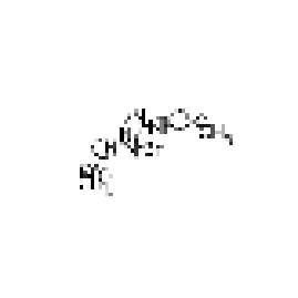 COC(=O)C1CCCN(c2nc(Br)c3c(NCc4ccc(OC)cc4)nccn23)C1